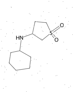 O=S1(=O)CCC(NC2CCCCC2)C1